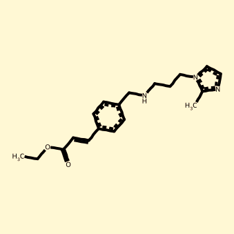 CCOC(=O)C=Cc1ccc(CNCCCn2ccnc2C)cc1